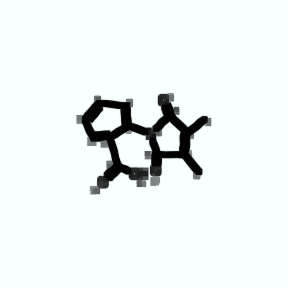 CC1=C(C)C(=O)N(c2ccccc2C(=O)O)C1=O